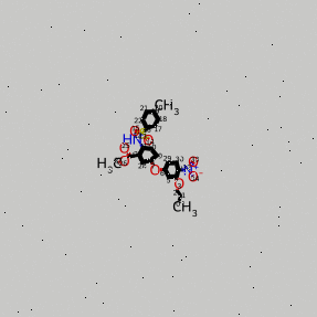 CCCOc1cc(Oc2ccc(NS(=O)(=O)c3ccc(C)cc3)c(C(=O)OC)c2)ccc1[N+](=O)[O-]